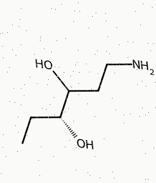 CC[C@@H](O)C(O)CCN